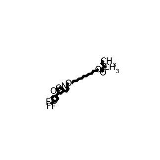 CCC(C)C(=O)OCCCCCCCCCCCOc1ccc2cc(-c3ccc(C(F)(F)F)cc3)c(=O)oc2n1